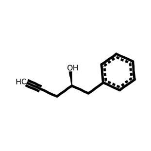 C#CC[C@@H](O)Cc1ccccc1